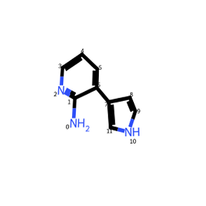 Nc1ncccc1-c1cc[nH]c1